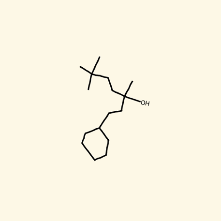 CC(C)(C)CCC(C)(O)CCC1CCCCC1